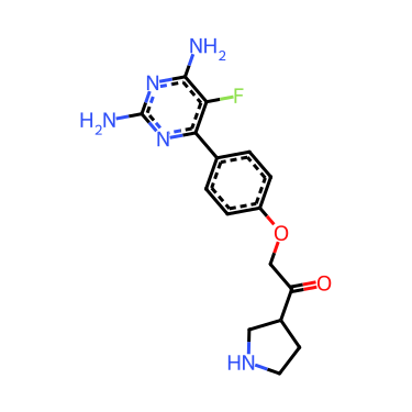 Nc1nc(N)c(F)c(-c2ccc(OCC(=O)C3CCNC3)cc2)n1